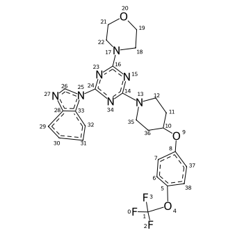 FC(F)(F)Oc1ccc(OC2CCN(c3nc(N4CCOCC4)nc(-n4cnc5ccccc54)n3)CC2)cc1